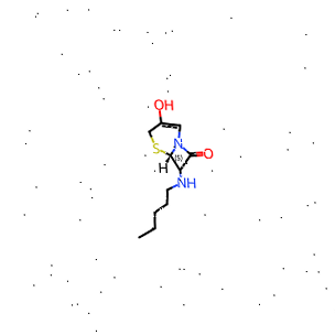 CCCCCNC1C(=O)N2C=C(O)CS[C@@H]12